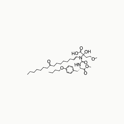 CCCCCCCC(=O)CCCCCC/C=C/N(C(=O)N[C@@H](Cc1ccc(OCCCC)cc1)C(=O)OC)[C@@](O)(CCOC)C(=O)O